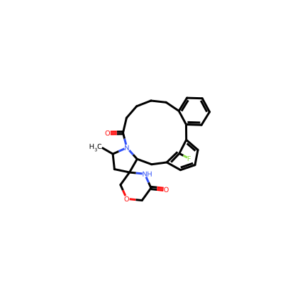 CC1CC2(COCC(=O)N2)C2Cc3cccc(c3F)-c3ccccc3CCCCC(=O)N12